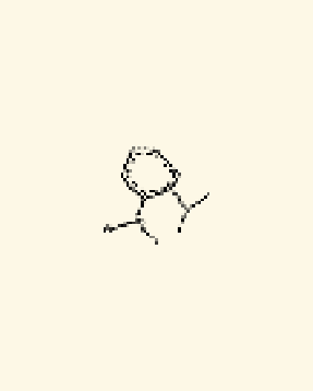 C[CH2][In]([CH2]C)[c]1ccccc1N(C)C